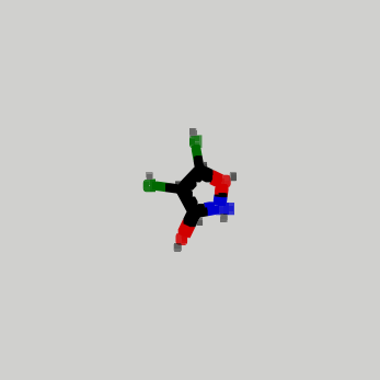 O=c1[nH]oc(Cl)c1Cl